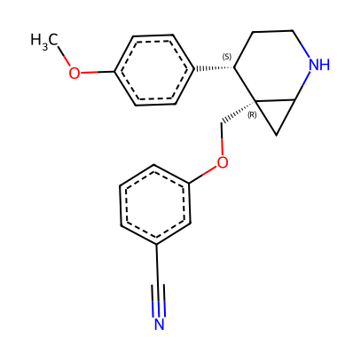 COc1ccc([C@@H]2CCNC3C[C@]32COc2cccc(C#N)c2)cc1